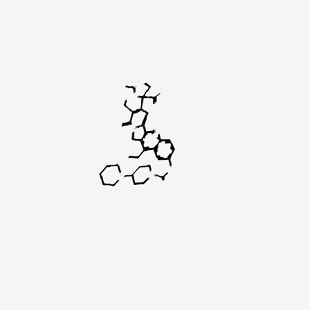 C=C(Oc1ccc2nc3c(c(CC)c2c1)CN1C(=C)C(CC)=C(C(CC)(OCC)C(C)=O)C=C31)N1CCC(N2CCCCC2)CC1